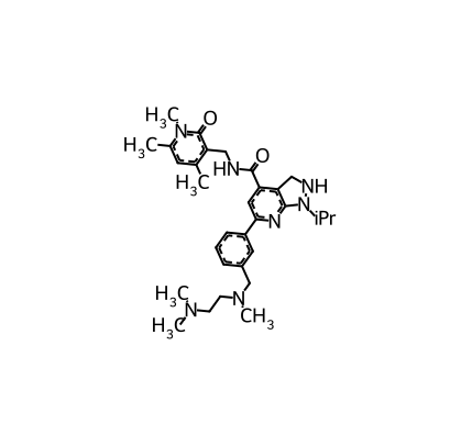 Cc1cc(C)n(C)c(=O)c1CNC(=O)c1cc(-c2cccc(CN(C)CCN(C)C)c2)nc2c1CNN2C(C)C